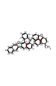 CC1C=Cc2oc3ccc(N(c4ccccc4-c4ccccc4)c4ccccc4-c4cccc5c4oc4cc6ccccc6cc45)cc3c2C1